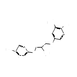 Cc1ccc(OCC(O)CSc2ccc(O)cc2)cc1C